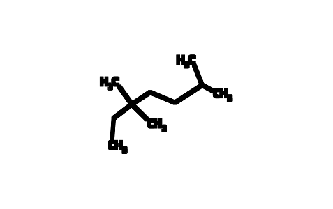 CCC(C)(C)CCC(C)C